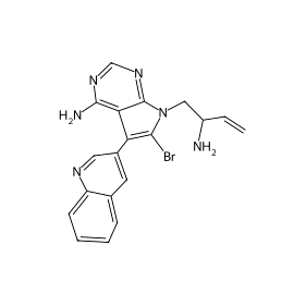 C=CC(N)Cn1c(Br)c(-c2cnc3ccccc3c2)c2c(N)ncnc21